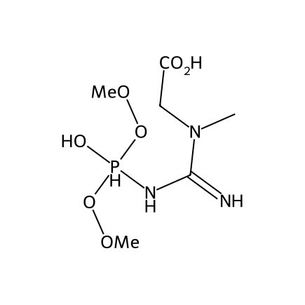 COO[PH](O)(NC(=N)N(C)CC(=O)O)OOC